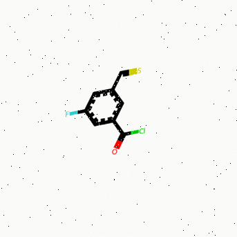 O=C(Cl)c1cc(F)cc(C=S)c1